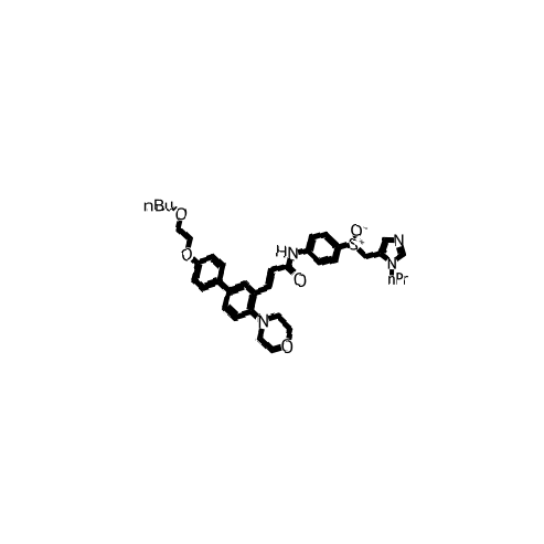 CCCCOCCOc1ccc(-c2ccc(N3CCOCC3)c(/C=C/C(=O)Nc3ccc([S@@+]([O-])Cc4cncn4CCC)cc3)c2)cc1